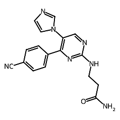 N#Cc1ccc(-c2nc(NCCC(N)=O)ncc2-n2ccnc2)cc1